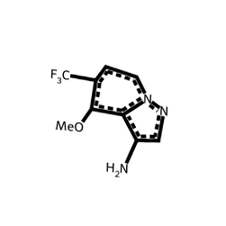 COc1c(C(F)(F)F)ccn2ncc(N)c12